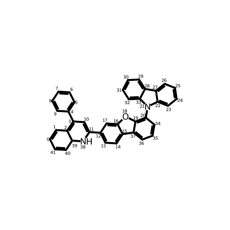 C1=CC2=C(c3ccccc3)C=C(c3ccc4c(c3)oc3c(-n5c6ccccc6c6ccccc65)cccc34)NC2C=C1